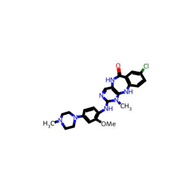 COc1cc(N2CCN(C)CC2)ccc1NC1N=CC2=C(Nc3ccc(Cl)cc3C(=O)N2)N1C